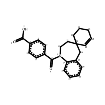 O=C(O)c1ccc(C(=O)N2CCC3(C=CCCC3)Cc3ccccc32)cc1